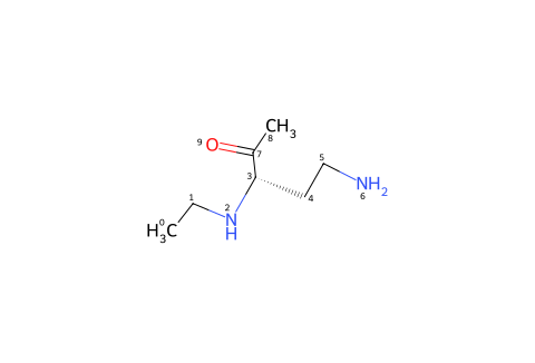 CCN[C@@H](CCN)C(C)=O